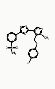 Cn1ncc(-c2nc(-c3cccc(S(N)(=O)=O)c3)no2)c1COc1ccc(Br)cn1